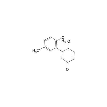 Cc1ccc(C)c(C2=CC(=O)C=CC2=O)c1